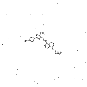 Cc1oc(-c2ccc(C(C)C)cc2)nc1CCOc1cccc2c1CCC=C2CCC(=O)O